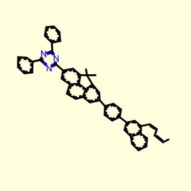 C/C=C\C=C/c1cc(-c2ccc(-c3cc4c5c(ccc6cc(-c7nc(-c8ccccc8)nc(-c8ccccc8)n7)cc(c65)C4(C)C)c3)cc2)cc2ccccc12